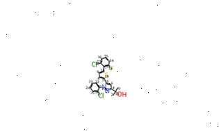 CC(C)(O)c1cc(-c2ccc(-c3c(F)cccc3Cl)s2)n(-c2ccccc2Cl)n1